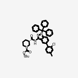 Cc1ccc(-c2ccc3c(c2)c(NC(=O)[C@H]2CCCN(C(=O)OC(C)(C)C)C2)nn3C(c2ccccc2)(c2ccccc2)c2ccccc2)c(Cl)c1